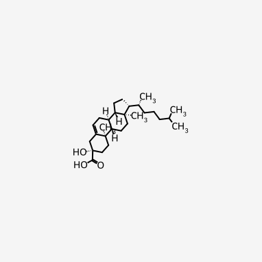 CC(C)CCC[C@@H](C)[C@H]1CC[C@H]2[C@@H]3CC=C4C[C@](O)(C(=O)O)CC[C@]4(C)[C@H]3CC[C@]12C